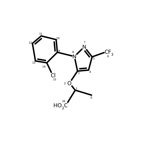 CC(Oc1cc(C(F)(F)F)nn1-c1ccccc1Cl)C(=O)O